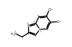 NCc1cn2cc(Cl)c(Cl)cc2n1